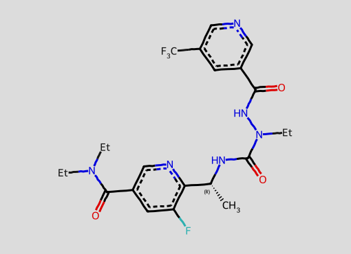 CCN(CC)C(=O)c1cnc([C@@H](C)NC(=O)N(CC)NC(=O)c2cncc(C(F)(F)F)c2)c(F)c1